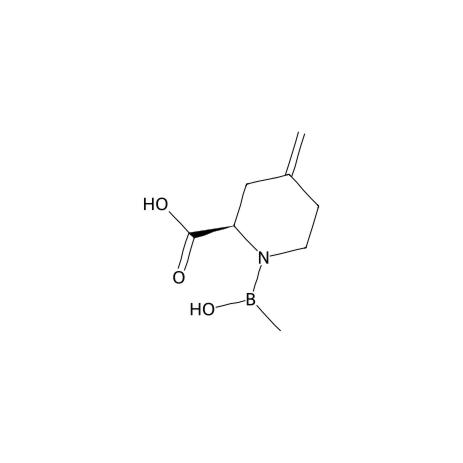 C=C1CCN(B(C)O)[C@@H](C(=O)O)C1